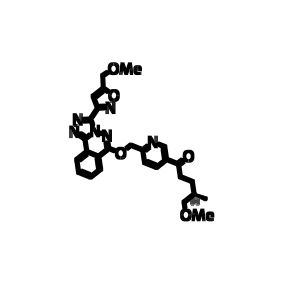 COCc1cc(-c2nnc3c4ccccc4c(OCc4ccc(C(=O)CC[C@@H](C)COC)cn4)nn23)no1